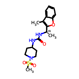 Cc1c([C@H](C)NC(=O)NC2CCN(S(C)(=O)=O)CC2)oc2ccccc12